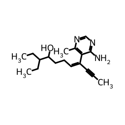 CC#C/C(=C/CCC(O)C(CC)CC)c1c(C)ncnc1N